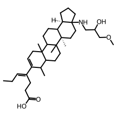 CC/C=C(\CCC(=O)O)C1=CCC2(C)C(CCC3(C)C2CCC2[C@H]4CCCC4(NCC(O)COC)CC[C@]23C)C1C